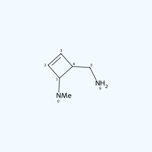 CNC1C=CC1CN